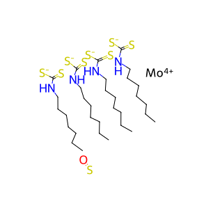 CCCCCCCNC(=S)[S-].CCCCCCCNC(=S)[S-].CCCCCCCNC(=S)[S-].CCCCCCCNC(=S)[S-].O=S.[Mo+4]